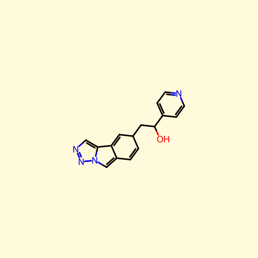 OC(CC1C=Cc2cn3nncc3c2=C1)c1ccncc1